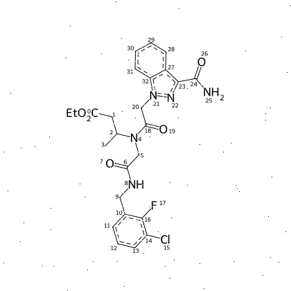 CCOC(=O)CC(C)N(CC(=O)NCc1cccc(Cl)c1F)C(=O)Cn1nc(C(N)=O)c2ccccc21